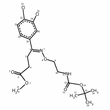 COC(=O)CCC(=NOCCNC(=O)OC(C)(C)C)c1ccc(Cl)c(Cl)c1